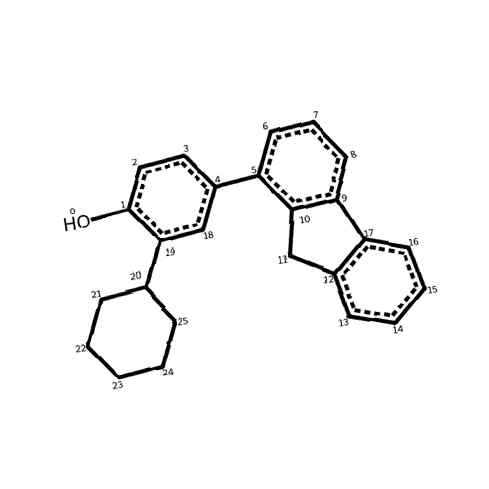 Oc1ccc(-c2cccc3c2Cc2ccccc2-3)cc1C1CCCCC1